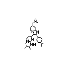 C=C(Nc1nccc(-c2c(-c3ccc(F)cc3)nc3cc(CN(C)C)ccn23)n1)C(C)C